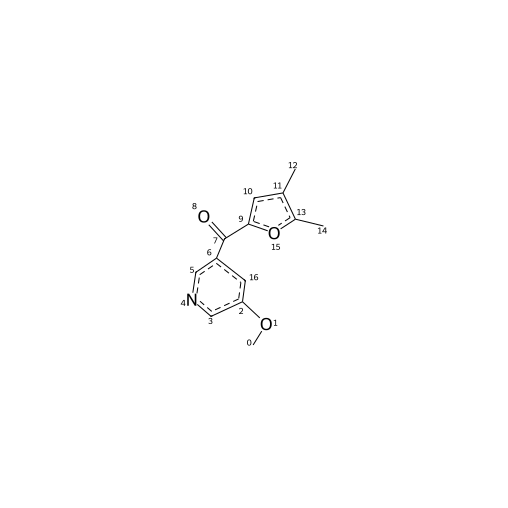 COc1cncc(C(=O)c2cc(C)c(C)o2)c1